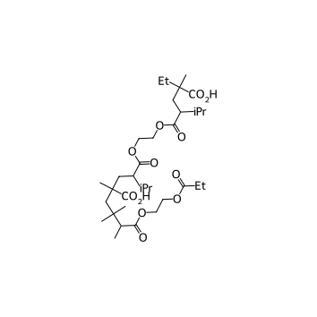 CCC(=O)OCCOC(=O)C(C)C(C)(C)CC(C)(CC(C(=O)OCCOC(=O)C(CC(C)(CC)C(=O)O)C(C)C)C(C)C)C(=O)O